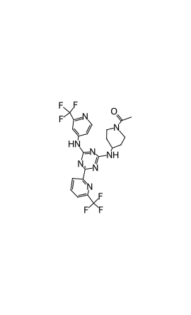 CC(=O)N1CCC(Nc2nc(Nc3ccnc(C(F)(F)F)c3)nc(-c3cccc(C(F)(F)F)n3)n2)CC1